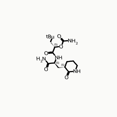 CC(C)(C)C[C@H](OC(N)=O)C(=O)N[C@@H](C[C@@H]1CCCNC1=O)C(N)=O